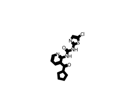 O=C(Nc1ncc(Cl)s1)Nc1ncccc1C(=O)C1CCCC1